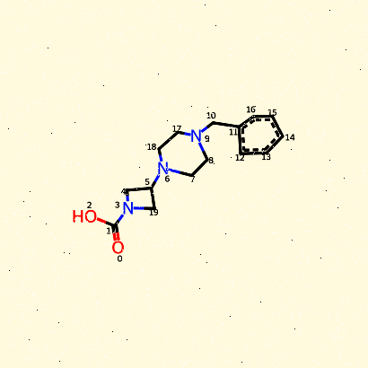 O=C(O)N1CC(N2CCN(Cc3ccccc3)CC2)C1